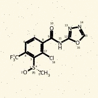 C[S@+]([O-])c1c(C(F)(F)F)ccc(C(=O)Nc2nnco2)c1Cl